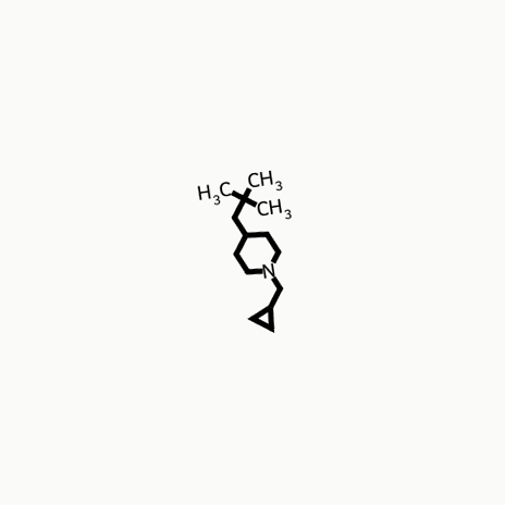 CC(C)(C)CC1CCN(CC2CC2)CC1